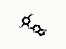 CC(=O)c1ccc(C(C)C)cc1Oc1ccc2[nH]ccc2n1